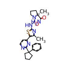 Cc1nc(NC(=O)N2CCC[C@@]2(C)C(N)=O)sc1-c1ccnc(C2(c3ccccc3)CCCC2)n1